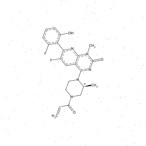 C=CC(=O)N1CCN(c2nc(=O)n(C)c3nc(-c4c(O)cccc4F)c(F)cc23)[C@@H](C)C1